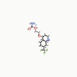 NC(=O)OCCOc1ccnc2cc(C(F)(F)F)ccc12